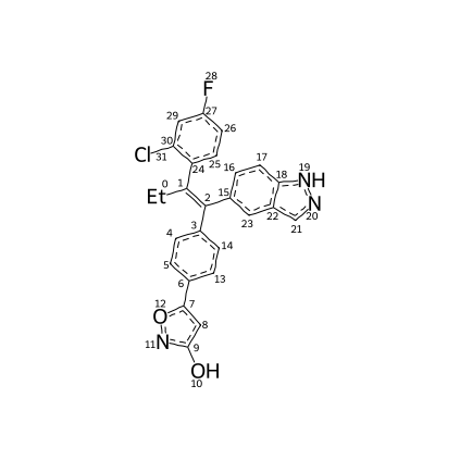 CCC(=C(c1ccc(-c2cc(O)no2)cc1)c1ccc2[nH]ncc2c1)c1ccc(F)cc1Cl